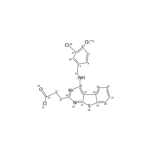 COc1ccc(CNc2nc(CCC(=O)Cl)nc3sc4ccccc4c23)cc1Cl